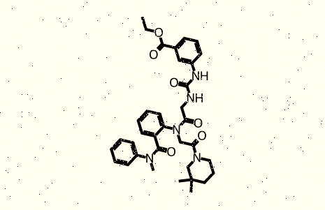 CCOC(=O)c1cccc(NC(=O)NCC(=O)N(CC(=O)N2CCCC(C)(C)C2)c2ccccc2C(=O)N(C)c2ccccc2)c1